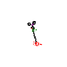 O=C(O)CCCCCCCCCCBr.c1ccc(P(c2ccccc2)c2ccccc2)cc1